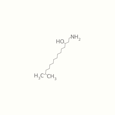 CC(C)CCCCCCCCCCC(O)CCN